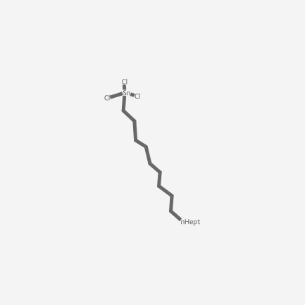 CCCCCCCCCCCCCCC[CH2][Sn]([Cl])([Cl])[Cl]